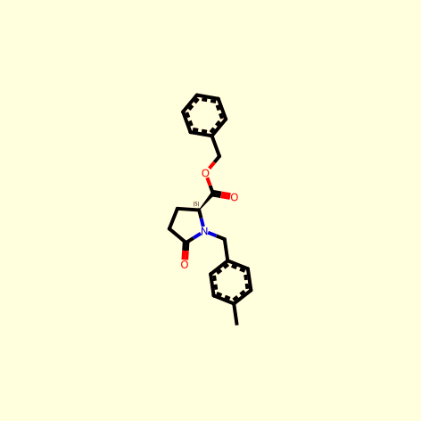 Cc1ccc(CN2C(=O)CC[C@H]2C(=O)OCc2ccccc2)cc1